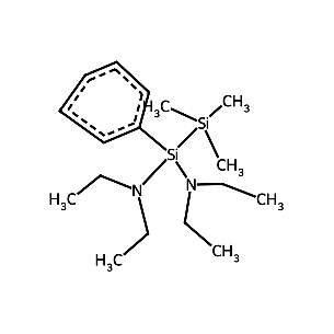 CCN(CC)[Si](c1ccccc1)(N(CC)CC)[Si](C)(C)C